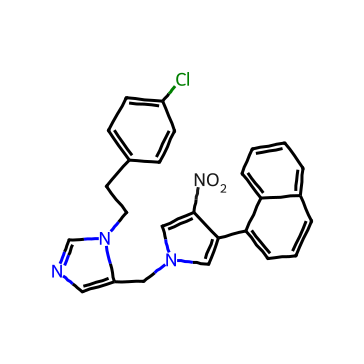 O=[N+]([O-])c1cn(Cc2cncn2CCc2ccc(Cl)cc2)cc1-c1cccc2ccccc12